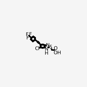 O=C(O)CSc1nc2cc(C#Cc3ccc(C(F)(F)F)cc3)c(Cl)cc2[nH]1